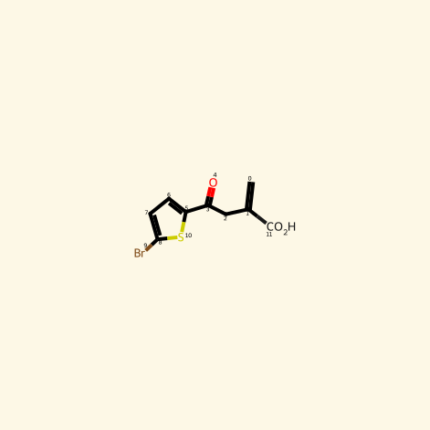 C=C(CC(=O)c1ccc(Br)s1)C(=O)O